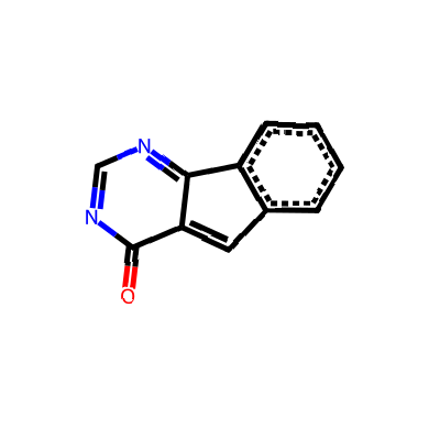 O=C1N=CN=C2C1=Cc1ccccc12